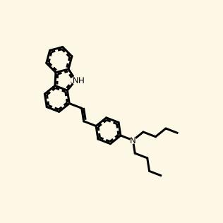 CCCCN(CCCC)c1ccc(C=Cc2cccc3c2[nH]c2ccccc23)cc1